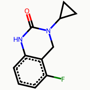 O=C1Nc2cccc(F)c2CN1C1CC1